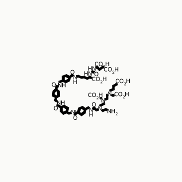 NCCN(CCN(CCN(CCCCC(=O)O)CC(=O)O)CC(=O)O)CC(=O)NCc1ccc(C(=O)NCc2ccc(C(=O)NCc3ccc(C(=O)NCc4ccc(C(=O)NCCCCC(NC(=O)NC(CCC(=O)O)C(=O)O)C(=O)O)cc4)cc3)cc2)cc1